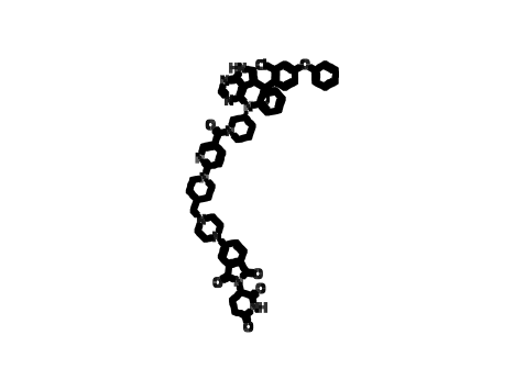 O=C1CCC(N2C(=O)c3ccc(N4CCN(CC5CCN(c6ccc(C(=O)N7CCC[C@@H](N(c8ccccc8)c8ncnc9[nH]cc(C(=O)c%10ccc(Oc%11ccccc%11)cc%10Cl)c89)C7)cn6)CC5)CC4)cc3C2=O)C(=O)N1